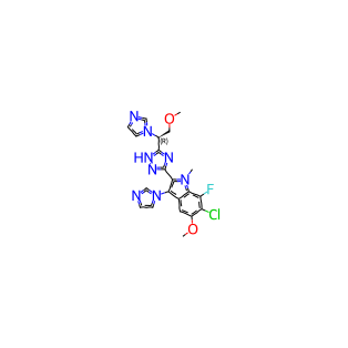 COC[C@@H](c1nc(-c2c(-n3ccnc3)c3cc(OC)c(Cl)c(F)c3n2C)n[nH]1)n1ccnc1